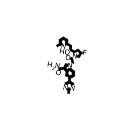 Cc1cccc(CC(O)C2C[C@@H](F)CN2C(=O)Cn2cc(C(N)=O)c3cc(-c4cnc(C)nc4)ccc32)n1